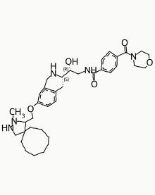 CN1NCC2(CCCCCCCC2)C1COc1ccc2c(c1)CN[C@H]([C@H](O)CNC(=O)c1ccc(C(=O)N3CCOCC3)cc1)C2